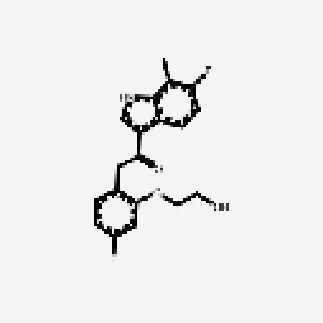 Cc1c(F)ccc2c(C(=O)Cc3ccc(F)cc3OCCO)c[nH]c12